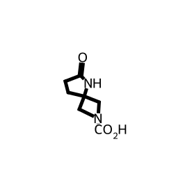 O=C1CCC2(CN(C(=O)O)C2)N1